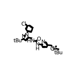 CC(C)(C)c1cc(CNC(=O)Nc2ccc(CO[Si](C)(C)C(C)(C)C)cn2)n(-c2cccc(Cl)c2)n1